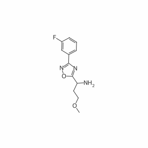 COCCC(N)c1nc(-c2cccc(F)c2)no1